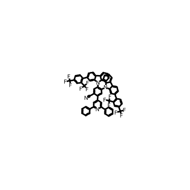 N#Cc1cc(-n2c3ccccc3c3ccc(-c4ccc(C(F)(F)F)cc4C(F)(F)F)cc32)c(-n2c3ccccc3c3ccc(-c4ccc(C(F)(F)F)cc4C(F)(F)F)cc32)cc1-c1cc(-c2ccccc2)nc(-c2ccccc2)c1